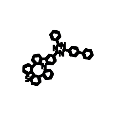 c1ccc(-c2ccc(-c3nc(-c4ccccc4)nc(-c4ccc5c(c4)c4cccc6c7cccc8sc9cccc(c%10ccccc%10n5c64)c9c87)n3)cc2)cc1